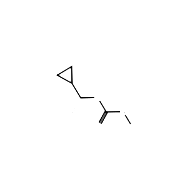 CC(C)NC(=O)O[C@H](C)C1CC1